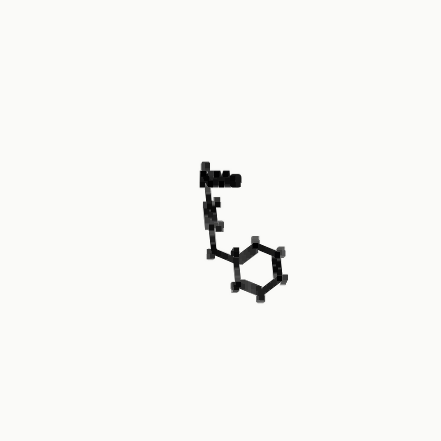 CNC#CCc1ccccc1